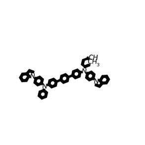 C#C/C=C\C(=C/C)N(c1ccc(-c2ccc(-c3ccc(N(c4ccccc4)c4ccc(-n5ccc6ccccc65)cc4)cc3)cc2)cc1)c1ccc(-n2ccc3ccccc32)cc1